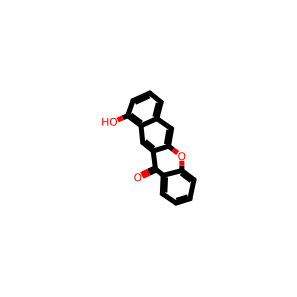 O=c1c2ccccc2oc2cc3cccc(O)c3cc12